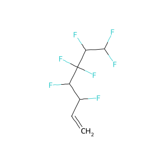 C=CC(F)C(F)C(F)(F)C(F)C(F)F